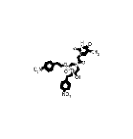 Cc1cn(CC(=O)N(CCO)CP(=O)(OCCc2ccc([N+](=O)[O-])cc2)OCCc2ccc([N+](=O)[O-])cc2)c(=O)[nH]c1=O